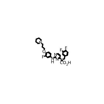 O=C(O)N(Cc1ccc(F)c(F)c1)c1ccnc(Nc2ccc(OCCCN3CCCCC3)c(F)c2)n1